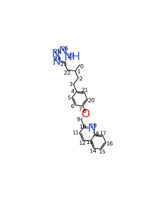 CC(CCc1ccc(OCc2ccc3ccccc3n2)cc1)Cc1nnn[nH]1